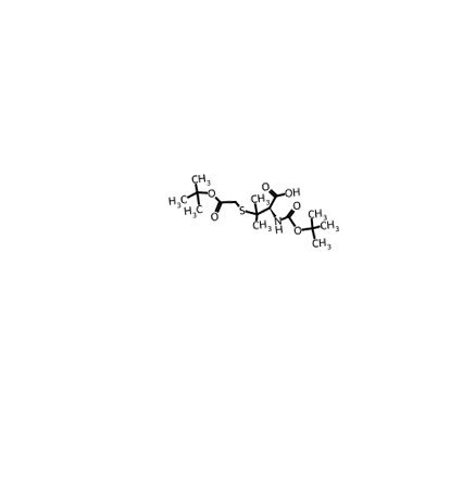 CC(C)(C)OC(=O)CSC(C)(C)[C@H](NC(=O)OC(C)(C)C)C(=O)O